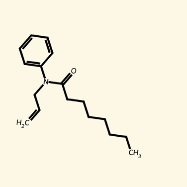 C=CCN(C(=O)CCCCCCC)c1ccccc1